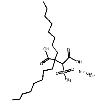 CCCCCCCCC(CCCCCCCC)(C(=O)O)C(C(=O)O)S(=O)(=O)O.[Na+].[Na+].[Na+]